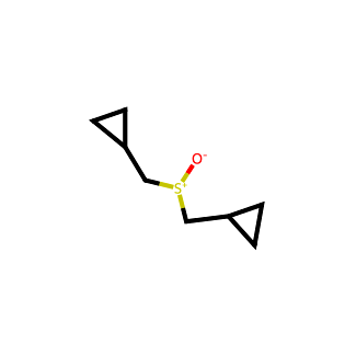 [O-][S+](CC1CC1)CC1CC1